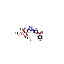 CO/C=C(\C(=O)OC)C1=C(C)N2N=CN(c3ccc(C(=O)c4ccccc4)cc3)C2S1